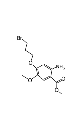 COC(=O)c1cc(OC)c(OCCCBr)cc1N